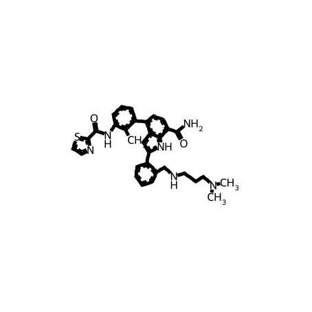 Cc1c(NC(=O)c2nccs2)cccc1-c1ccc(C(N)=O)c2[nH]c(-c3ccccc3CNCCCN(C)C)cc12